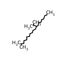 CCCCCCCCC(CCCCCCCCCC(C)C)[C](C)C